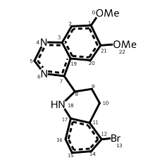 COc1cc2ncnc(C3CCc4c(Br)cccc4N3)c2cc1OC